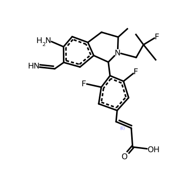 CC1Cc2cc(N)c(C=N)cc2C(c2c(F)cc(/C=C/C(=O)O)cc2F)N1CC(C)(C)F